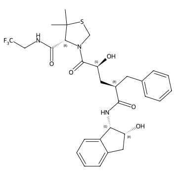 CC1(C)SCN(C(=O)[C@@H](O)C[C@@H](Cc2ccccc2)C(=O)N[C@H]2c3ccccc3C[C@H]2O)[C@@H]1C(=O)NCC(F)(F)F